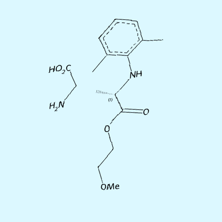 COCCOC(=O)[C@H](C)Nc1c(C)cccc1C.NCC(=O)O